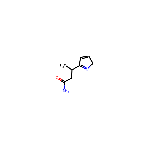 CC(CC(N)=O)C1=NCC=C1